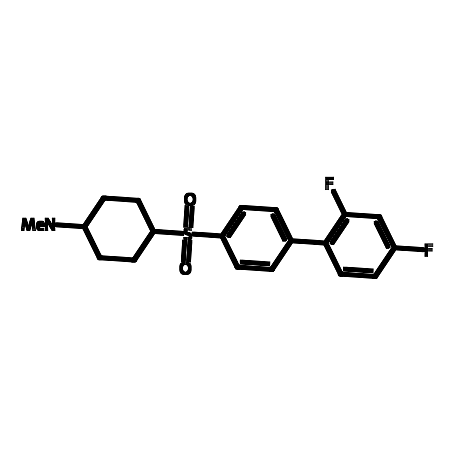 CNC1CCC(S(=O)(=O)c2ccc(-c3ccc(F)cc3F)cc2)CC1